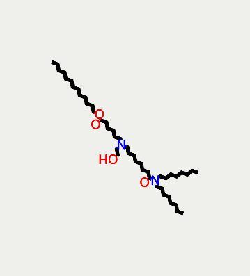 CCCCCCCCCCCCCOC(=O)CCCCCN(CCO)CCCCCCCC(=O)N(CCCCCCCC)CCCCCCCC